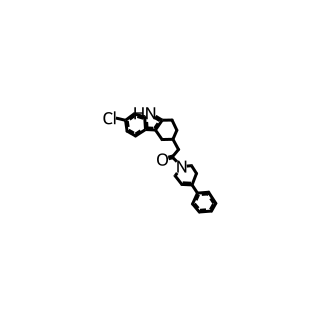 O=C(CC1CCc2[nH]c3cc(Cl)ccc3c2C1)N1CC=C(c2ccccc2)CC1